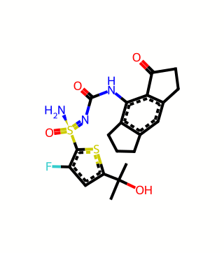 CC(C)(O)c1cc(F)c([S@](N)(=O)=NC(=O)Nc2c3c(cc4c2C(=O)CC4)CCC3)s1